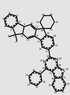 CC1(C)c2ccccc2C2C=C3C(=CC21)c1cc(-c2nc(-c4ccccc4)c4c(n2)sc2ccccc24)ccc1C31CCCCC1